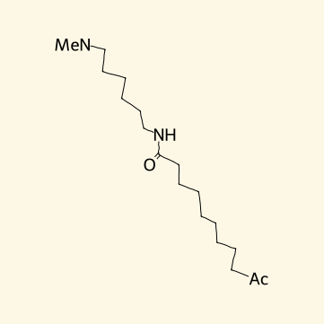 CNCCCCCCNC(=O)CCCCCCCCC(C)=O